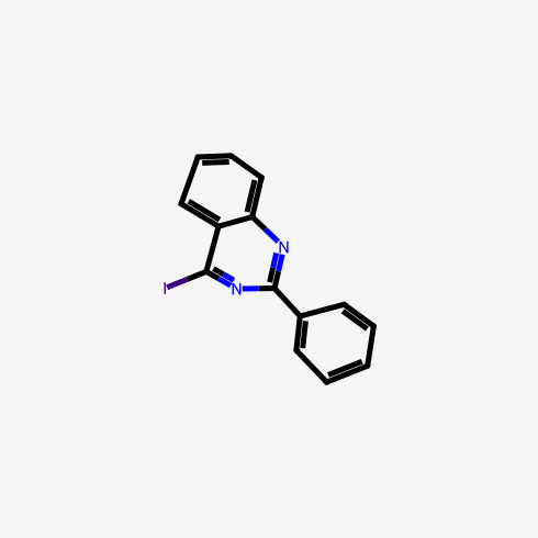 Ic1nc(-c2ccccc2)nc2ccccc12